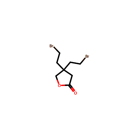 O=C1CC(CCBr)(CCBr)CO1